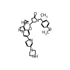 COc1ccc([C@@H](C)N2CC([C@@H](C)Oc3cc(-c4ccc(N5CCNCC5)cn4)cn4ncc(C5CC5)c34)CC2=O)cc1